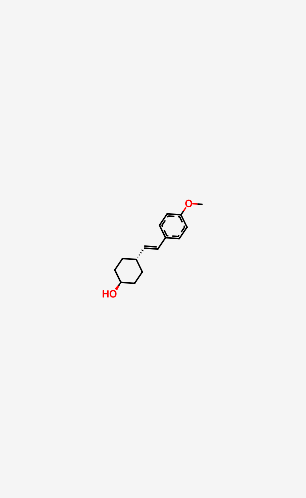 COc1ccc(/C=C/[C@H]2CC[C@H](O)CC2)cc1